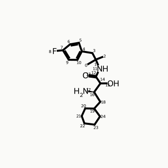 CC(C)(Cc1ccc(F)cc1)NC(=O)C(O)[C@H](N)CC1CCCCC1